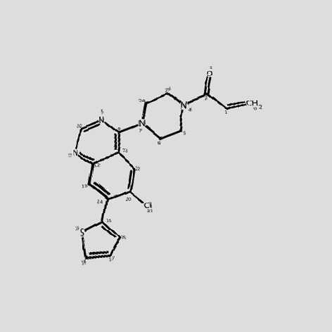 C=CC(=O)N1CCN(c2ncnc3cc(-c4cccs4)c(Cl)cc23)CC1